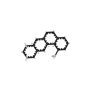 Oc1cccc2ccc3cc4ncncc4cc3c12